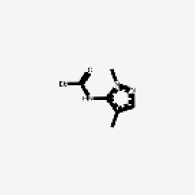 CCC(=O)Nc1c(C)cnn1C